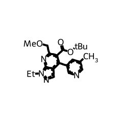 CCn1ncc2c(-c3cncc(C)c3)c(C(=O)OC(C)(C)C)c(COC)nc21